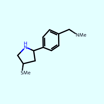 CNCc1ccc(C2CC(SC)CN2)cc1